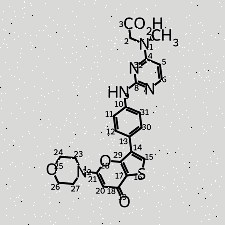 CN(CC(=O)O)c1ccnc(Nc2ccc(-c3csc4c(=O)cc(N5CCOCC5)oc34)cc2)n1